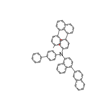 Cc1ccc(-c2cccc3cccc(-c4ccc(N(c5ccc(-c6ccccc6)cc5)c5ccc(-c6ccc7ccccc7c6)c6ccccc56)cc4)c23)cc1